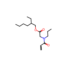 C=CC(=O)N(CCC)CC(=O)OCC(CC)CCCC